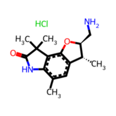 Cc1cc2c(c3c1NC(=O)C3(C)C)O[C@@H](CN)[C@@H]2C.Cl